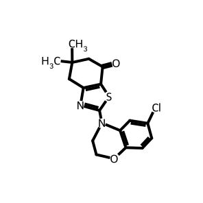 CC1(C)CC(=O)c2sc(N3CCOc4ccc(Cl)cc43)nc2C1